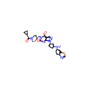 O=C(C1CC1)N1CCC(O)(Cn2cnc3c(cnn3-c3cccc(Nc4ccc5ncsc5c4)c3)c2=O)CC1